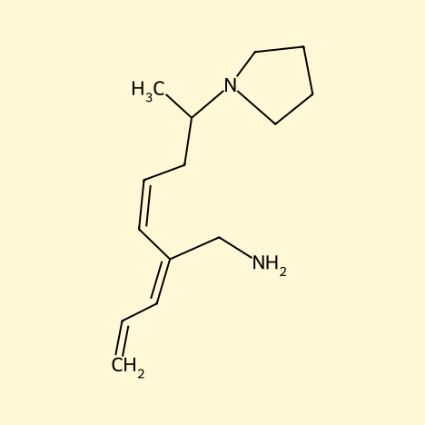 C=C/C=C(\C=C/CC(C)N1CCCC1)CN